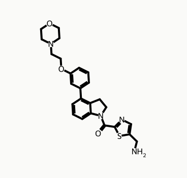 NCc1cnc(C(=O)N2CCc3c(-c4cccc(OCCN5CCOCC5)c4)cccc32)s1